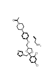 C=CCN.CC(=O)N1CCN(c2ccc(OC[C@H]3CO[C@](Cn4ccnc4)(c4ccc(Cl)cc4Cl)O3)cc2)CC1